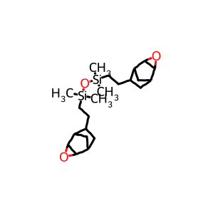 C[Si](C)(CCC1CC2CC1C1OC21)O[Si](C)(C)CCC1CC2CC1C1OC21